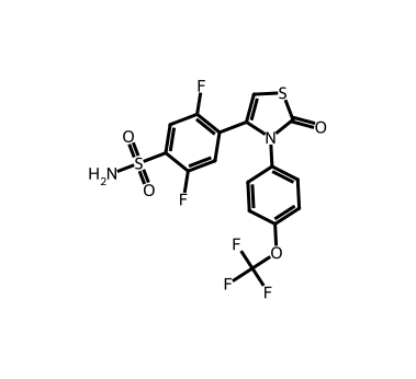 NS(=O)(=O)c1cc(F)c(-c2csc(=O)n2-c2ccc(OC(F)(F)F)cc2)cc1F